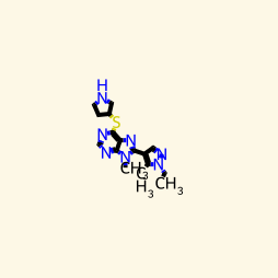 CCn1ncc(-c2nc3c(SC4CCNC4)ncnc3n2C)c1C